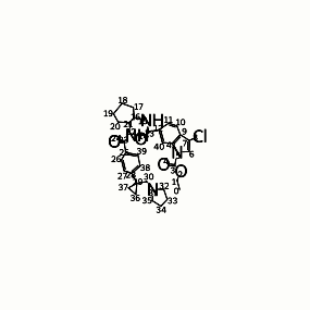 CCOC(=O)n1cc(Cl)c2ccc(C(=O)NC3CCCCC3NC(=O)c3ccc(C4(CN5CCCC5)CC4)cc3)cc21